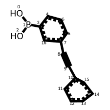 OB(O)c1cccc(C#Cc2ccccc2)c1